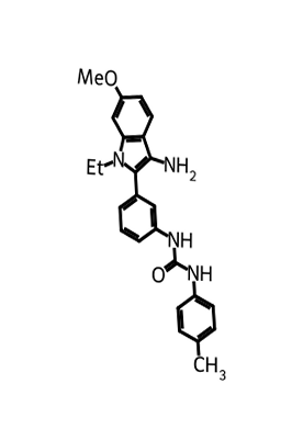 CCn1c(-c2cccc(NC(=O)Nc3ccc(C)cc3)c2)c(N)c2ccc(OC)cc21